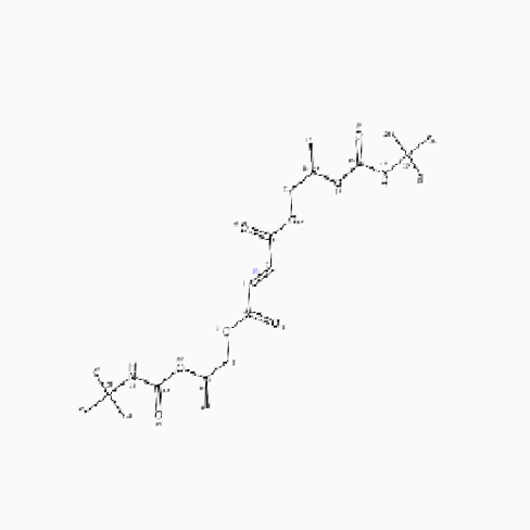 C[C@H](COC(=O)/C=C/C(=O)OC[C@@H](C)OC(=O)NC(C)(C)C)OC(=O)NC(C)(C)C